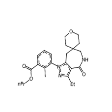 CCCOC(=O)c1cccc(-n2nc(CC)c3c2CC2(CCOCC2)CNC3=O)c1C